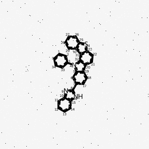 c1ccc(-n2c3cc(-c4nc5ccccc5[nH]4)ccc3c3ccc4sc5ccccc5c4c32)cc1